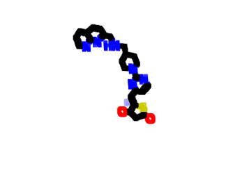 O=C1CC(=O)/C(=C/c2ccnc(N3CCC(CNCc4ccc5cccnc5n4)CC3)n2)S1